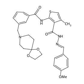 COc1ccc(C=NNC(=O)c2c(C)csc2NC(=O)c2cccc(CN3CCC4(CC3)OCCO4)c2)cc1